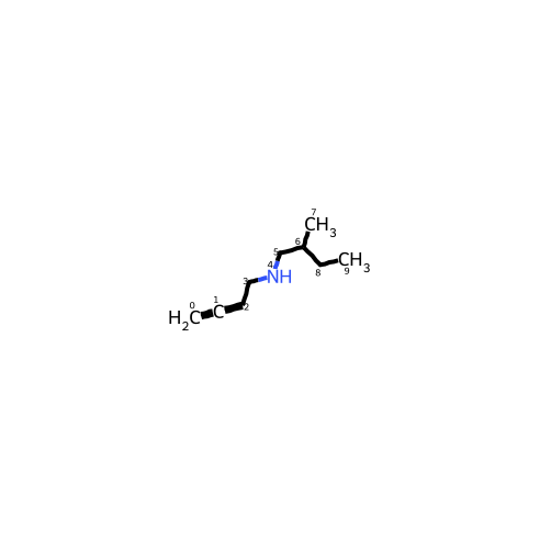 C=C=CCNCC(C)CC